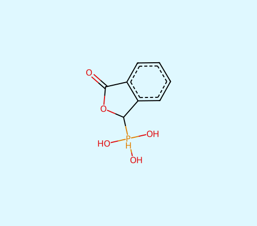 O=C1OC([PH](O)(O)O)c2ccccc21